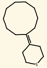 C1CCCCC(=C2CCSCC2)CCCC1